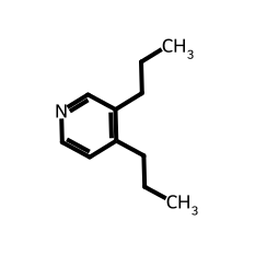 CCCc1ccncc1CCC